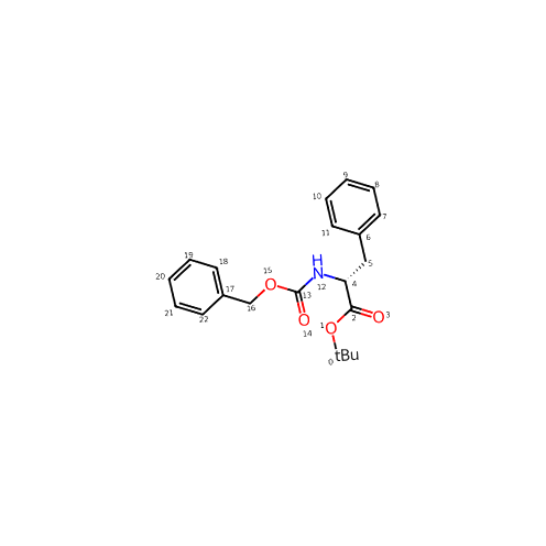 CC(C)(C)OC(=O)[C@@H](Cc1ccccc1)NC(=O)OCc1ccccc1